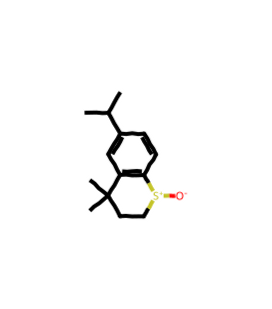 CC(C)c1ccc2c(c1)C(C)(C)CC[S+]2[O-]